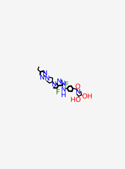 CCc1cnc(N2CCC(n3cc(F)c4c(Nc5ccc(C(=O)N6C[C@@H](O)[C@H](O)C6)cc5F)ncnc43)CC2)nc1